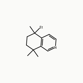 CCC1(C)CCC(C)(C)c2cnccc21